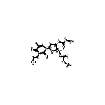 Cc1cn([C@H]2C[C@H](OC(=O)OC(C)(C)C)[C@@H](COC(=O)OC(C)(C)C)O2)c(=O)n(CCO)c1=O